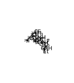 CCC(=O)NC1CC(F)C(NC(=O)c2c(C)[nH]c3c(-c4cc(C(F)(F)F)ccc4OCC4CC4)ncnc23)C1